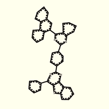 c1ccc(-c2nc(-c3ccc(-c4nc(-c5cc6ccccc6c6ccccc56)c5ccccc5n4)cc3)nc3c2sc2ccccc23)cc1